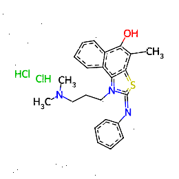 Cc1c(O)c2ccccc2c2c1sc(=Nc1ccccc1)n2CCCN(C)C.Cl.Cl